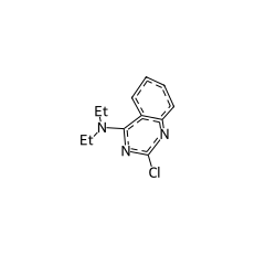 CCN(CC)c1nc(Cl)nc2ccccc12